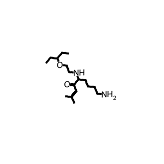 CCC(CC)OCCNC(CCCCN)C(=O)C=C(C)C